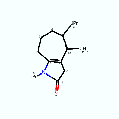 CC(C)C1CCCC2=C(CC(=O)N2C(C)C)C1C